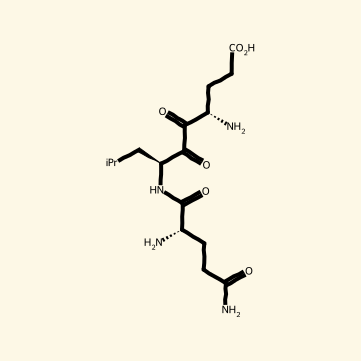 CC(C)C[C@H](NC(=O)[C@@H](N)CCC(N)=O)C(=O)C(=O)[C@@H](N)CCC(=O)O